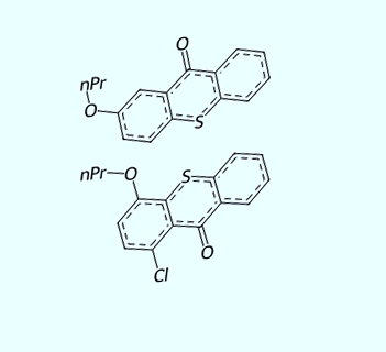 CCCOc1ccc(Cl)c2c(=O)c3ccccc3sc12.CCCOc1ccc2sc3ccccc3c(=O)c2c1